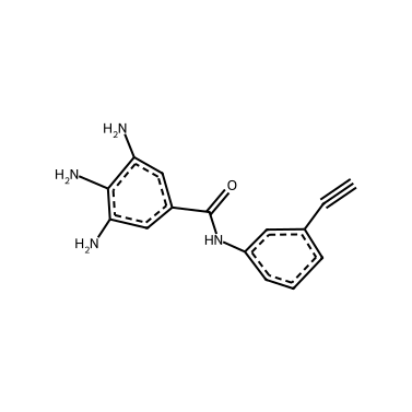 C#Cc1cccc(NC(=O)c2cc(N)c(N)c(N)c2)c1